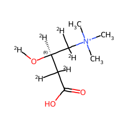 [2H]O[C@]([2H])(C([2H])([2H])C(=O)O)C([2H])([2H])[N+](C)(C)C